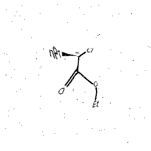 CCC[C@@H](Cl)C(=O)OCC